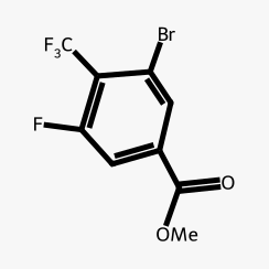 COC(=O)c1cc(F)c(C(F)(F)F)c(Br)c1